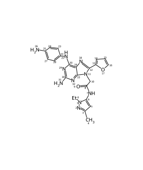 CCn1nc(C)cc1NC(=O)Cn1c(-c2ccco2)nc2c(Nc3ccc(N)cc3)nc(N)nc21